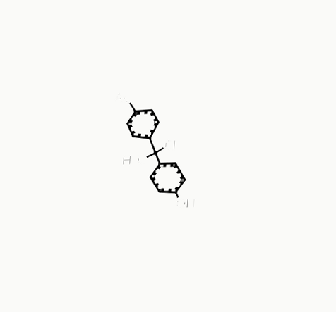 CC(=O)c1ccc(C(C)(C)c2ccc(O)cc2)cc1